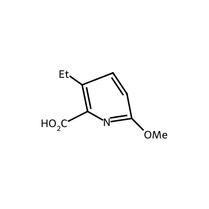 CCc1ccc(OC)nc1C(=O)O